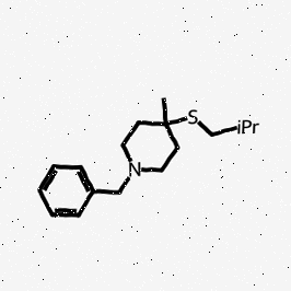 CC(C)CSC1(C)CCN(Cc2ccccc2)CC1